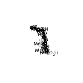 COc1c(NC(=O)c2ccc(NC(=O)c3ccc(NC(=O)C(CC#N)NC(=O)c4ccc(NC(=O)C5CCCC5)cc4)cc3)c(OC)c2O)ccc(C(=O)O)c1O